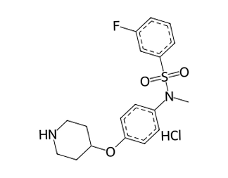 CN(c1ccc(OC2CCNCC2)cc1)S(=O)(=O)c1cccc(F)c1.Cl